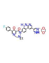 CCN1CCn2cc(c(=O)c(-c3ccc(F)cc3)c2)C(=O)N(c2ccc(-c3cc(/C(C=N)=C/NC[C@H]4COCCO4)cnc3N)cc2)C1